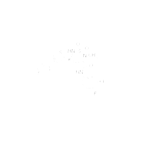 CN1[C@H](C(=O)Nc2ccc(F)c(Cl)c2)C[C@H](c2cc(-c3ccccc3)cs2)NS1(=O)=O